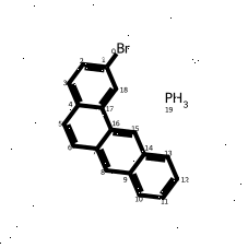 Brc1ccc2ccc3cc4ccccc4cc3c2c1.P